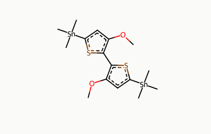 COc1c[c]([Sn]([CH3])([CH3])[CH3])sc1-c1s[c]([Sn]([CH3])([CH3])[CH3])cc1OC